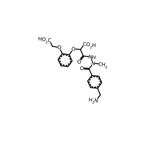 CN(NC(=O)C(Oc1ccccc1OCC(=O)O)C(=O)O)C(=O)c1ccc(CN)cc1